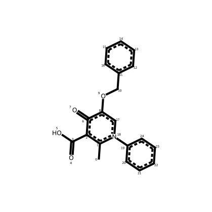 Cc1c(C(=O)O)c(=O)c(OCc2ccccc2)cn1-c1ccccc1